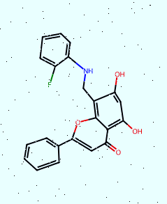 O=c1cc(-c2ccccc2)oc2c(CNc3ccccc3F)c(O)cc(O)c12